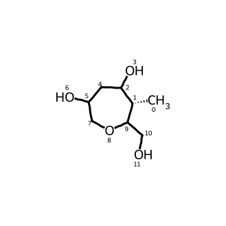 C[C@H]1C(O)CC(O)COC1CO